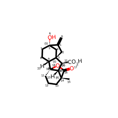 C=C1C[C@]23C[C@@]1(O)CC[C@H]2[C@@]12CCC[C@@](C)(C(=O)O1)[C@H]2[C@@H]3C(=O)O